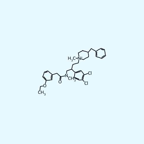 CCOc1cccc(CC(=O)N(C)CC(CC[N+]2(C)CCC(Cc3ccccc3)CC2)c2ccc(Cl)c(Cl)c2)c1